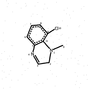 CN1CC=Nc2cccc(Cl)c21